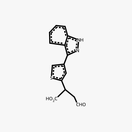 O=CCC(C(=O)O)c1cc(-c2n[nH]c3ccccc23)cs1